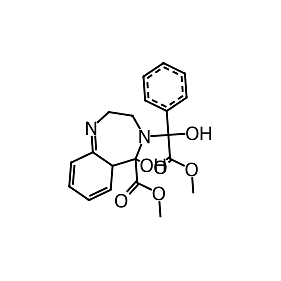 COC(=O)C(O)(c1ccccc1)N1CCN=C2C=CC=CC2C1(O)C(=O)OC